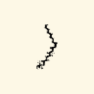 CCCCCCCC/C=C\CCCCCCCC[N+](C)(C)[O-]